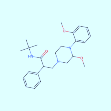 COc1ccccc1N1CCN(CC(C(=O)NC(C)(C)C)c2ccccc2)CC1OC